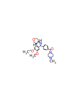 CCOc1cc2c(cc1OC)C(c1ccc(C(=O)N3CCN(C)CC3)cc1)=N[C@@H]1CCOC[C@H]21